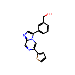 OCc1cccc(-c2cnc3cnc(-c4cccs4)cn23)c1